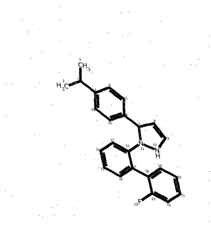 CC(C)c1ccc(C2C=CNN2c2ccccc2-c2ccccc2F)cc1